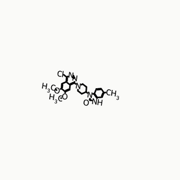 COc1cc2c(Cl)nnc(N3CCC(n4c(=O)[nH]c5cc(C)ccc54)CC3)c2cc1OC